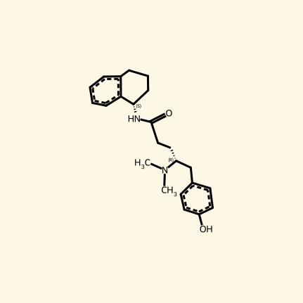 CN(C)[C@H](CCC(=O)N[C@H]1CCCc2ccccc21)Cc1ccc(O)cc1